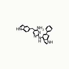 Nc1nc(Nc2cc(-c3ccccc3)cc3[nH]ccc23)ncc1Cc1ccc2[nH]ccc2c1